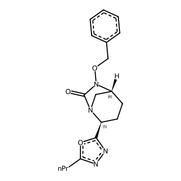 CCCc1nnc([C@@H]2CC[C@@H]3CN2C(=O)N3OCc2ccccc2)o1